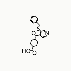 O=C(O)[C@H]1CC[C@H](C(=O)c2ccncc2SCc2ccccc2)CC1